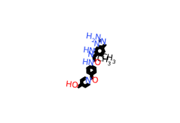 CC1(C)Cc2cnc(N)nc2-c2[nH]nc(C(=O)Nc3ccc(C(=O)N4CCC(CO)CC4)cc3)c21